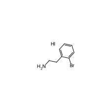 I.NCCc1ccccc1Br